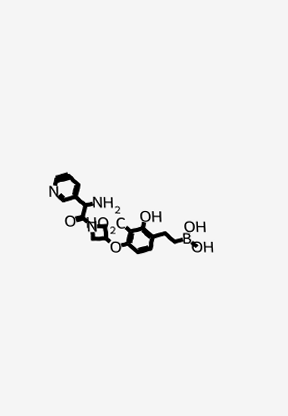 NC(C(=O)N1CC(Oc2ccc(CCB(O)O)c(O)c2C(=O)O)C1)c1cc#cnc1